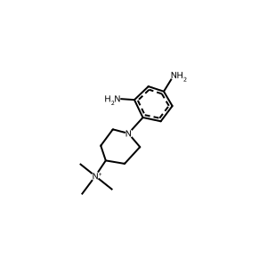 C[N+](C)(C)C1CCN(c2ccc(N)cc2N)CC1